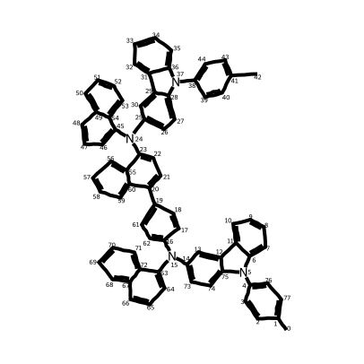 Cc1ccc(-n2c3ccccc3c3cc(N(c4ccc(-c5ccc(N(c6ccc7c(c6)c6ccccc6n7-c6ccc(C)cc6)c6cccc7ccccc67)c6ccccc56)cc4)c4cccc5ccccc45)ccc32)cc1